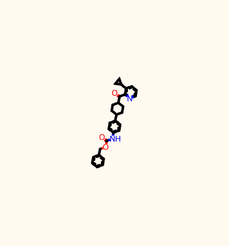 O=C(Nc1ccc(C2CCC(C(=O)c3ncccc3C3CC3)CC2)cc1)OCc1ccccc1